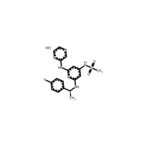 C[C@H](Nc1cc(NS(C)(=O)=O)cc(Nc2cnccn2)n1)c1ccc(F)cc1.Cl